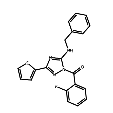 O=C(c1ccccc1F)n1nc(-c2cccs2)nc1NCc1ccccc1